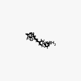 Bc1cccc(N2CCC(CCCCN3N=CC(=C)N(C)C3=O)CC2)n1